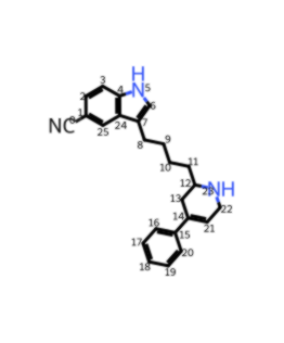 N#Cc1ccc2[nH]cc(CCCCC3CC(c4ccccc4)=CCN3)c2c1